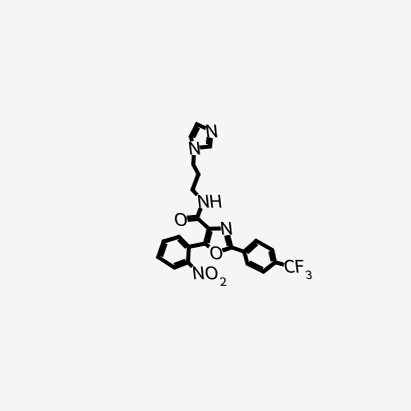 O=C(NCCCn1ccnc1)c1nc(-c2ccc(C(F)(F)F)cc2)oc1-c1ccccc1[N+](=O)[O-]